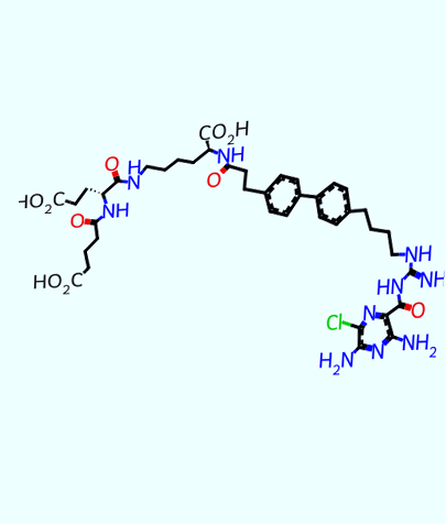 N=C(NCCCCc1ccc(-c2ccc(CCC(=O)N[C@@H](CCCCNC(=O)[C@@H](CCC(=O)O)NC(=O)CCCC(=O)O)C(=O)O)cc2)cc1)NC(=O)c1nc(Cl)c(N)nc1N